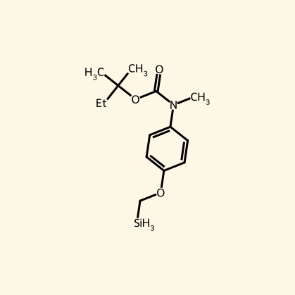 CCC(C)(C)OC(=O)N(C)c1ccc(OC[SiH3])cc1